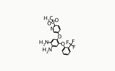 CS(=O)(=O)c1ccc(Oc2cc(N)c(N)cc2Oc2ccccc2C(F)(F)F)cn1